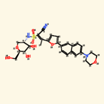 C/C(=C(/C#N)S(=O)(=O)N[C@H]1CO[C@H](CO)[C@@H](O)[C@@H]1O)c1ccc(-c2ccc3cc(N4CCOCC4)ccc3c2)o1